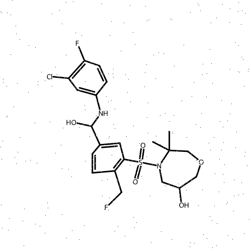 CC1(C)COCC(O)CN1S(=O)(=O)c1cc(C(O)Nc2ccc(F)c(Cl)c2)ccc1CF